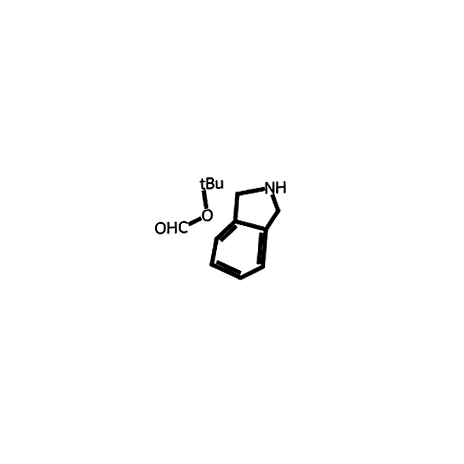 CC(C)(C)OC=O.c1ccc2c(c1)CNC2